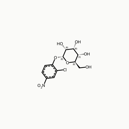 O=[N+]([O-])c1ccc(O[C@H]2O[C@H](CO)[C@@H](O)[C@@H](O)[C@H]2O)c(Cl)c1